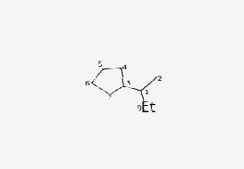 [CH2]CC(C)C1CCCC1